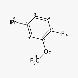 [CH2]C(C)c1ccc(F)c(OC(F)(F)F)c1